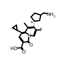 Cc1c([C@@H]2CCC(CN)C2)c(F)cn2c(=O)c(C(=O)O)cc(C3CC3)c12